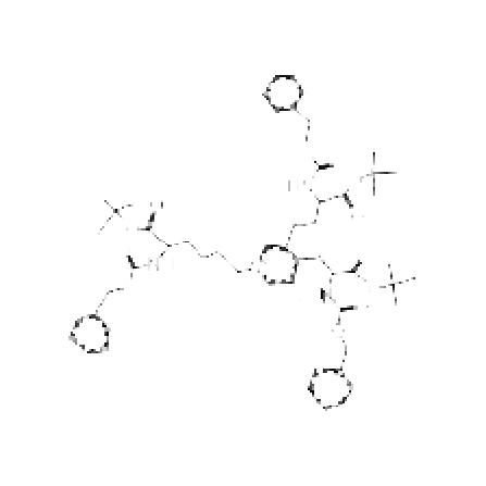 CC(C)(C)OC(=O)C(CCCC[n+]1cc(O)c(CC(NC(=O)OCc2ccccc2)C(=O)OC(C)(C)C)c(CCC(NC(=O)OCc2ccccc2)C(=O)OC(C)(C)C)c1)NC(=O)OCc1ccccc1